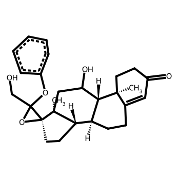 C[C@]12CCC(=O)C=C1CC[C@@H]1[C@@H]2C(O)C[C@@]2(C)[C@H]1CC[C@@]21OC1(CO)Oc1ccccc1